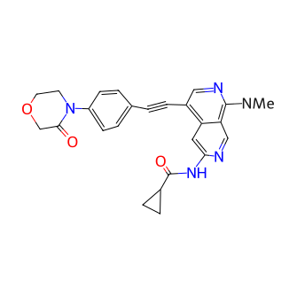 CNc1ncc(C#Cc2ccc(N3CCOCC3=O)cc2)c2cc(NC(=O)C3CC3)ncc12